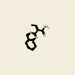 C/C=C(/C(N)=O)c1ncc2ccccc2n1